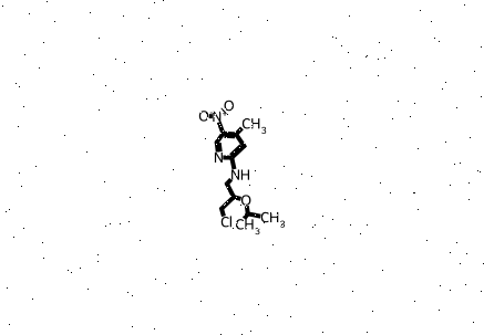 Cc1cc(NCC(CCl)OC(C)C)ncc1[N+](=O)[O-]